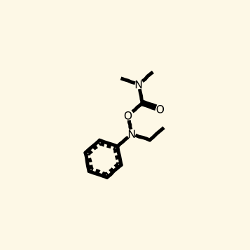 CCN(OC(=O)N(C)C)c1ccccc1